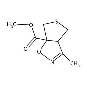 COC(=O)C12CSCC1C(C)=NO2